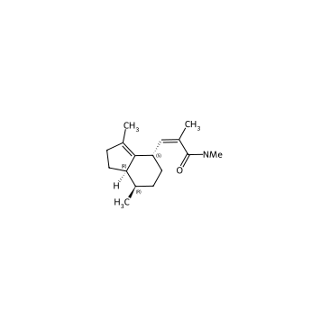 CNC(=O)C(C)=C[C@@H]1CC[C@@H](C)[C@H]2CCC(C)=C12